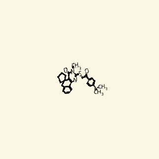 CN(C)c1ccc(C(=O)CSc2nc3c(c(=O)n2C)C2(CCCC2)Cc2ccccc2-3)cc1